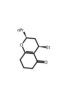 CCC[C@H]1C[C@@H](CC)C2=C(CCCC2=O)O1